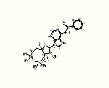 CC(C)[Si]1(C(C)C)OC[C@@H]2O[C@@H](n3cnc4c(NC(=O)c5ccccc5)ncnc43)[C@H](O)[C@H]2O[Si](C(C)C)(C(C)C)O1